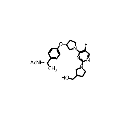 CC(=O)N[C@@H](C)c1ccc(O[C@@H]2CCN(c3nc(N4CCC(CO)C4)ncc3F)C2)cc1